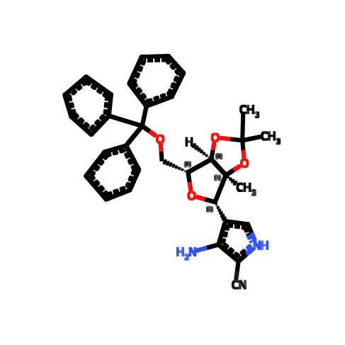 CC1(C)O[C@@H]2[C@@H](COC(c3ccccc3)(c3ccccc3)c3ccccc3)O[C@@H](c3c[nH]c(C#N)c3N)[C@]2(C)O1